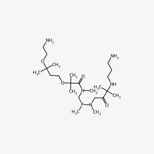 CN(CP(C)N(C)CC(=O)C(C)(C)NCCCN)C(=O)C(C)(C)OCCC(C)(C)OCCN